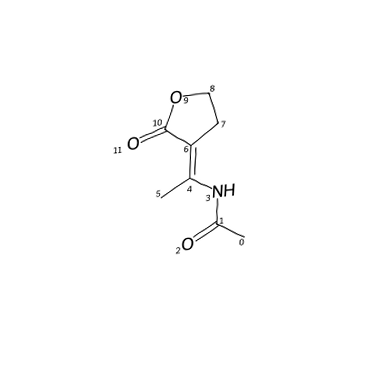 CC(=O)N/C(C)=C1\CCOC1=O